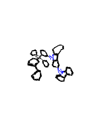 C1=Cc2c(n(-c3cccc([Si](c4ccccc4)(c4ccccc4)c4cccc(-c5ccccc5)c4)c3)c3ccc(-n4c5ccccc5c5ccccc54)cc23)CC1